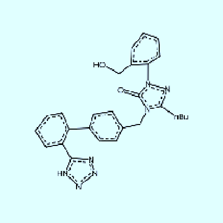 CCCCc1nn(-c2ccccc2CO)c(=O)n1Cc1ccc(-c2ccccc2-c2nnn[nH]2)cc1